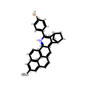 CC(C)(C)c1cc2ccc3cc4c5c(c(-c6ccc(Br)cc6)nc4c4ccc(c1)c2c34)C1CCC5C1